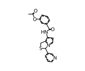 CC(=O)Oc1cccc(C(=O)Nc2ccn3c2CSC3c2cccnc2)c1